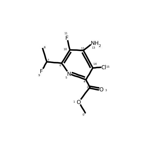 COC(=O)c1nc(C(C)F)c(F)c(N)c1Cl